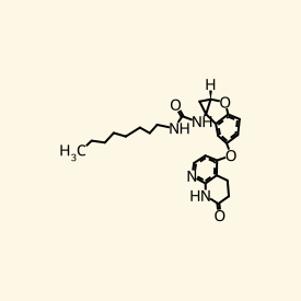 CCCCCCCCNC(=O)NC12C[C@@H]1Oc1ccc(Oc3ccnc4c3CCC(=O)N4)cc12